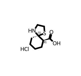 Cl.O=C(O)[C@H]1CCCC[C@@]12NCCS2